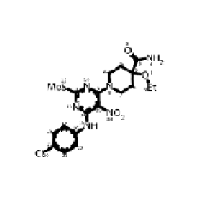 CCOC1(C(N)=O)CCN(c2nc(SC)nc(Nc3ccc(Cl)cc3)c2[N+](=O)[O-])CC1